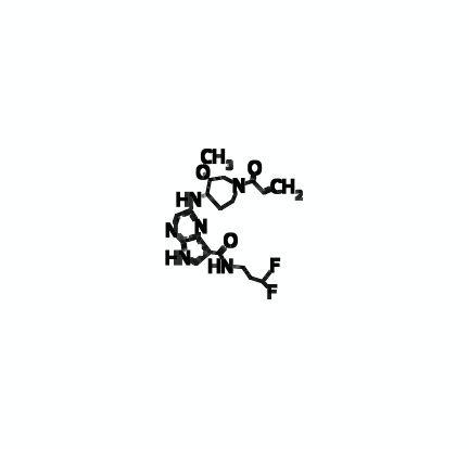 C=CC(=O)N1CC[C@H](Nc2cnc3[nH]cc(C(=O)NCCC(F)F)c3n2)[C@H](OC)C1